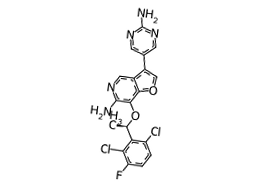 C[C@@H](Oc1c(N)ncc2c(-c3cnc(N)nc3)coc12)c1c(Cl)ccc(F)c1Cl